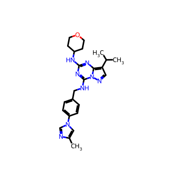 Cc1cn(-c2ccc(CNc3nc(NC4CCOCC4)nc4c(C(C)C)cnn34)cc2)cn1